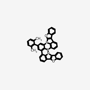 Cc1cccc(C)c1-c1cc2c3c(c1)-n1c4oc5ccccc5c4c4cccc(c41)B3n1c3c-2cccc3c2oc3ccccc3c21